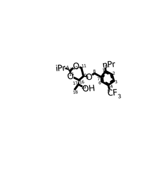 CCCc1ccc(C(F)(F)F)cc1CO[C@@H]1CO[C@H](C(C)C)O[C@@H]1C(C)O